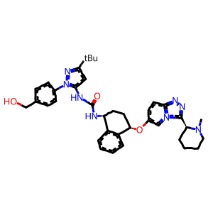 CN1CCCC[C@H]1c1nnc2ccc(O[C@@H]3CC[C@H](NC(=O)Nc4cc(C(C)(C)C)nn4-c4ccc(CO)cc4)c4ccccc43)cn12